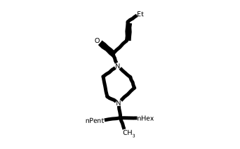 CC/C=C/C(=O)N1CCN(C(C)(CCCCC)CCCCCC)CC1